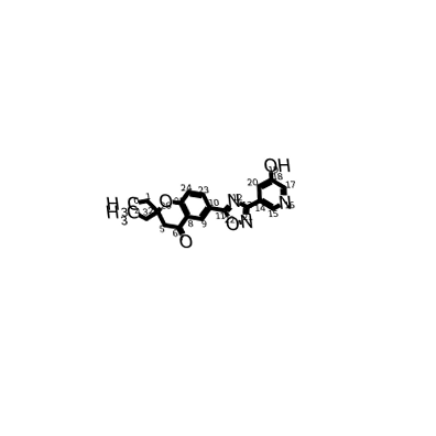 CCC1(CC)CC(=O)c2cc(-c3nc(-c4cncc(O)c4)no3)ccc2O1